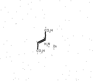 N.O=C(O)C=CC(=O)O.[Zn]